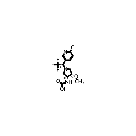 CO[C@H]1CN([C@H](c2ccc(Cl)nc2)C(F)(F)F)C[C@H]1NC(=O)O